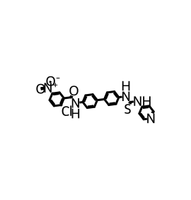 O=C(Nc1ccc(-c2ccc(NC(=S)Nc3ccncc3)cc2)cc1)c1cc([N+](=O)[O-])ccc1Cl